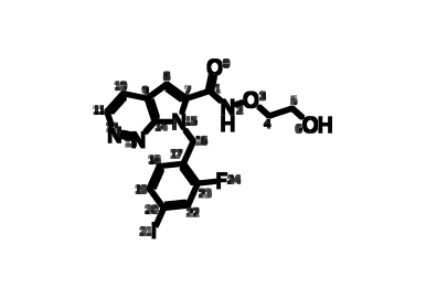 O=C(NOCCO)c1cc2ccnnc2n1Cc1ccc(I)cc1F